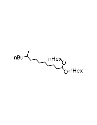 CCCCCCOC(CCCCCCCC(C)CCCC)OCCCCCC